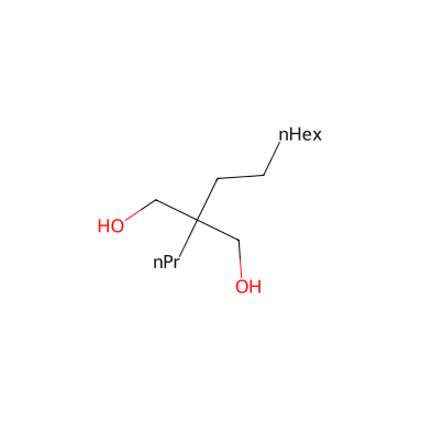 CCCCCCCCC(CO)(CO)CCC